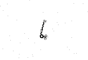 O=[N+]([O-])c1cccc(CCOCCCCCCBr)c1